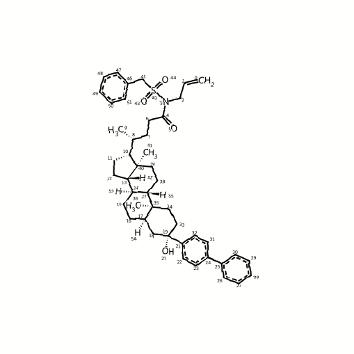 C=CCN(C(=O)CC[C@@H](C)[C@H]1CC[C@H]2[C@@H]3CC[C@@H]4C[C@](O)(c5ccc(-c6ccccc6)cc5)CC[C@]4(C)[C@H]3CC[C@]12C)S(=O)(=O)Cc1ccccc1